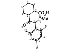 COC(C(=O)C1CCCCC1C(=O)O)c1c(C)cc(C)cc1C